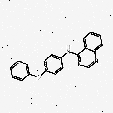 c1ccc(Oc2ccc(Nc3ncnc4ccccc34)cc2)cc1